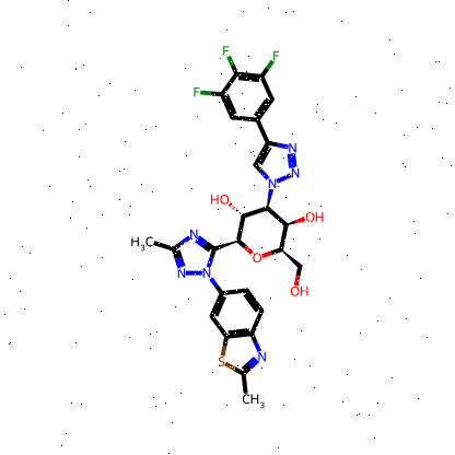 Cc1nc([C@@H]2O[C@H](CO)[C@H](O)[C@H](n3cc(-c4cc(F)c(F)c(F)c4)nn3)[C@H]2O)n(-c2ccc3nc(C)sc3c2)n1